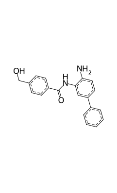 Nc1ccc(-c2ccccc2)cc1NC(=O)c1ccc(CO)cc1